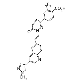 Cn1cc(-c2cnc3ccc(/C=C/n4nc(-c5ccc(C(=O)O)c(C(F)(F)F)c5)ccc4=O)cc3c2)cn1